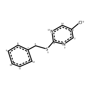 Clc1cnc(SCc2ccccc2)nc1